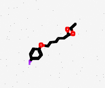 CC1OC(CCCCCOc2ccc(I)cc2)O1